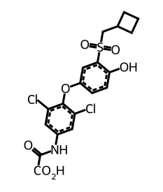 O=C(O)C(=O)Nc1cc(Cl)c(Oc2ccc(O)c(S(=O)(=O)CC3CCC3)c2)c(Cl)c1